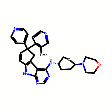 COc1cnccc1C1(c2ccncc2)C=Cc2[nH]c3ncnc(N[C@H]4CC[C@H](N5CCOCC5)CC4)c3c2C1